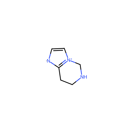 C1=C[N+]2=C(CCNC2)[N]1